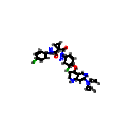 CN(C)c1cc2nccc(Oc3ccc(NC(=O)C4(C(=O)Nc5ccc(F)cc5)CC4)cc3F)c2cn1